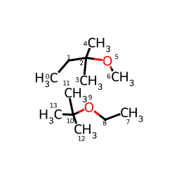 CCC(C)(C)OC.CCOC(C)(C)C